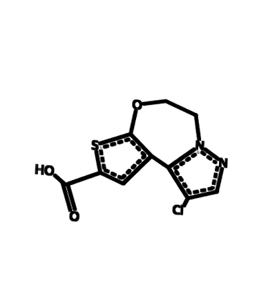 O=C(O)c1cc2c(s1)OCCn1ncc(Cl)c1-2